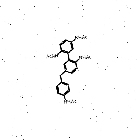 CC(=O)Nc1ccc(Cc2ccc(NC(C)=O)c(-c3cc(NC(C)=O)ccc3NC(C)=O)c2)cc1